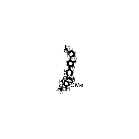 CCOc1cccc(-c2ccc(C3CCN(S(=O)(=O)[C@@]4(C(=O)OC)C[C@@H]5OC(C)(C)O[C@@H]5C4)CC3)cc2C)n1